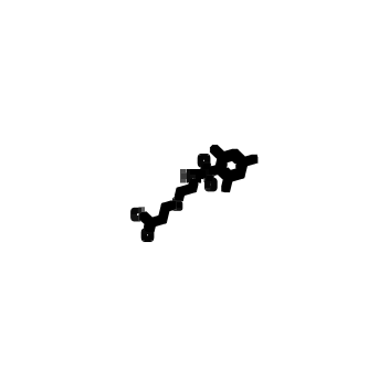 Cc1cc(C)c(S(=O)(=O)NCCSCCC(=O)Cl)c(C)c1